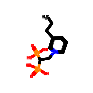 CCCc1ccc[n+](CC(P(=O)(O)O)P(=O)(O)O)c1